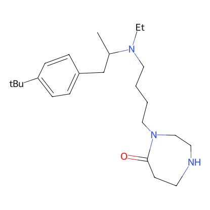 CCN(CCCCN1CCNCCC1=O)C(C)Cc1ccc(C(C)(C)C)cc1